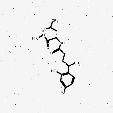 COC(=O)[C@H](CC(C)C)NC(=O)CCC(C)c1ccc(O)cc1O